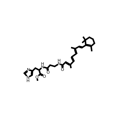 COC(=O)C(Cc1c[nH]cn1)NC(=O)CCNC(=O)C=C(C)C=CC=C(C)C=CC1=C(C)CCCC1(C)C